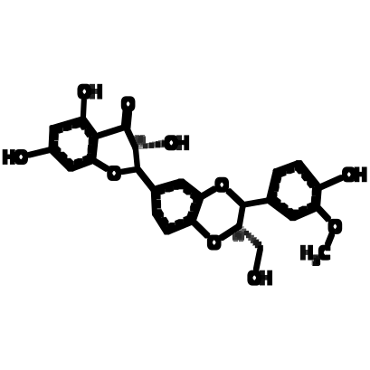 COc1cc(C2Oc3cc(C4Oc5cc(O)cc(O)c5C(=O)[C@@H]4O)ccc3O[C@H]2CO)ccc1O